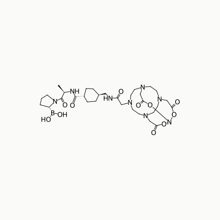 C[C@@H](NC(=O)[C@H]1CC[C@H](CNC(=O)CN2CCN3CCN4CCN(CC2)CC(=O)ON(OC(=O)C3)OC(=O)C4)CC1)C(=O)N1CCC[C@H]1B(O)O